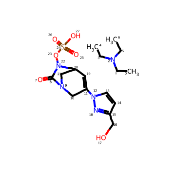 CCN(CC)CC.O=C1N2CC(n3ccc(CO)n3)=CC(C2)N1OS(=O)(=O)O